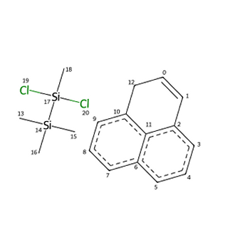 C1=Cc2cccc3cccc(c23)C1.C[Si](C)(C)[Si](C)(Cl)Cl